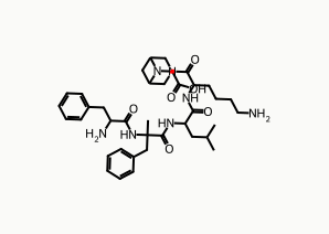 CC(C)CC(NC(=O)C(C)(Cc1ccccc1)NC(=O)C(N)Cc1ccccc1)C(=O)NC(CCCCN)C(=O)N1CC2CC(C1)N2CC(=O)O